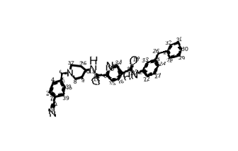 N#Cc1ccc(CN2CCC(NC(=O)c3ccc(C(=O)Nc4cccc(Cc5ccccc5)c4)cn3)CC2)cc1